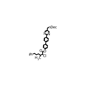 CCCCCCCCCCCc1cnc(-c2ccc(-c3ccc(OC(=O)C(Cl)C(C)CCCC(C)C)cc3)cc2)nc1